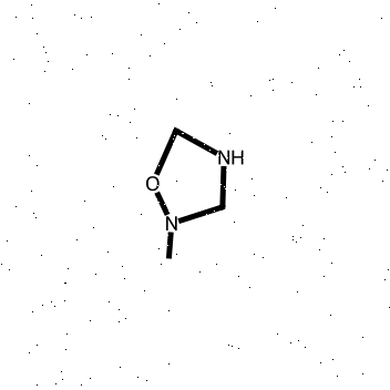 CN1CNCO1